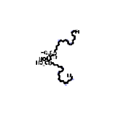 CC/C=C\C/C=C\C/C=C\C/C=C\C/C=C\CCCCOC(CC(C)C(CC)(OCCCC/C=C\C/C=C\C/C=C\C/C=C\C/C=C\CC)C(=O)O)(C(=O)O)C(C)O